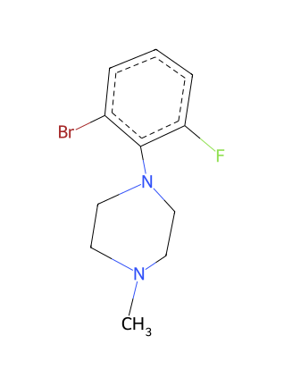 CN1CCN(c2c(F)cccc2Br)CC1